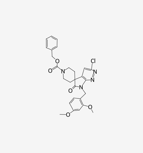 COc1ccc(CN2C(=O)C3(CCN(C(=O)OCc4ccccc4)CC3)c3cc(Cl)nnc32)c(OC)c1